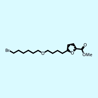 COC(=O)c1ccc(CCCCOCCCCCCBr)o1